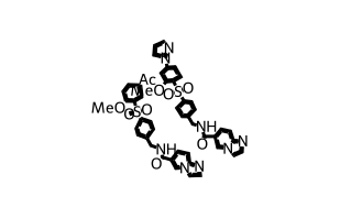 COc1cc(-n2cccn2)ccc1S(=O)(=O)c1ccc(CNC(=O)c2ccc3nccn3c2)cc1.COc1ccc(C(C)=O)cc1S(=O)(=O)c1ccc(CNC(=O)c2ccc3nccn3c2)cc1